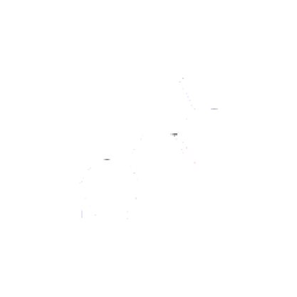 CN(C)C(=O)CC1CCNCC1.Cl